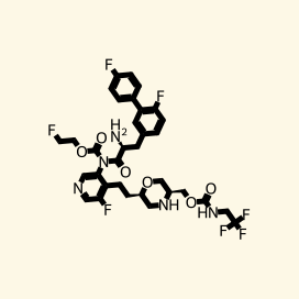 N[C@@H](Cc1ccc(F)c(-c2ccc(F)cc2)c1)C(=O)N(C(=O)OCCF)c1cncc(F)c1CC[C@@H]1CN[C@H](COC(=O)NCC(F)(F)F)CO1